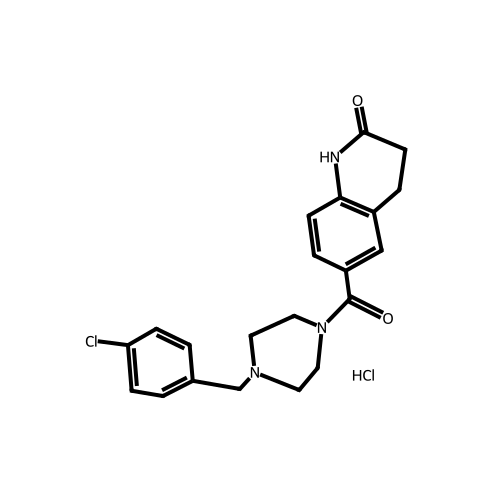 Cl.O=C1CCc2cc(C(=O)N3CCN(Cc4ccc(Cl)cc4)CC3)ccc2N1